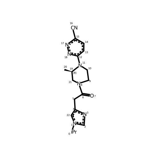 CC(C)n1cnc(CC(=O)N2CCN(c3ccc(C#N)nn3)[C@H](C)C2)c1